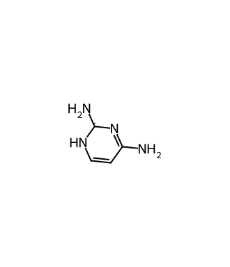 N[C]1N=C(N)C=CN1